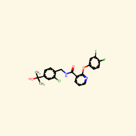 CC(C)(O)c1ccc(CNC(=O)c2cccnc2Oc2ccc(F)c(F)c2)c(Cl)c1